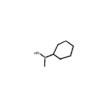 CCCB(C)C1CCCCC1